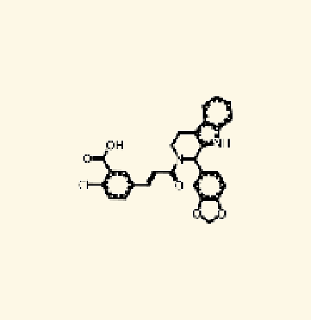 O=C(O)c1cc(C=CC(=O)N2CCc3c([nH]c4ccccc34)C2c2ccc3c(c2)OCO3)ccc1Cl